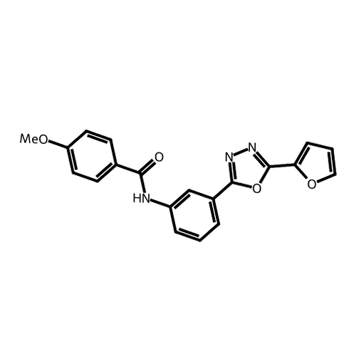 COc1ccc(C(=O)Nc2cccc(-c3nnc(-c4ccco4)o3)c2)cc1